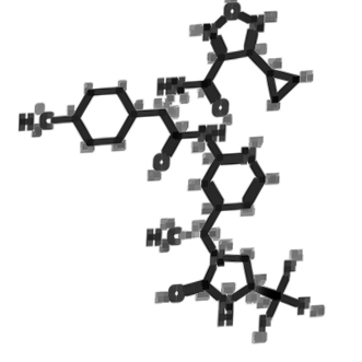 CC1CCC([C@H](NC(=O)c2nonc2C2CC2)C(=O)Nc2cc([C@@H](C)N3C[C@@H](C(F)(F)F)NC3=O)ccn2)CC1